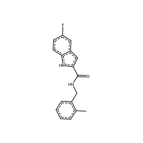 Cc1ccccc1CNC(=O)c1cc2cc(F)ccc2[nH]1